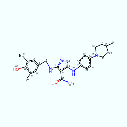 CCc1cc(CNc2[nH]nc(Nc3ccc(N4CCC(C)CC4)cc3)c2C(N)=O)cc(C)c1O